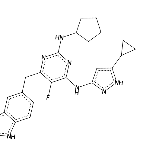 Fc1c(Cc2ccc3[nH]cnc3c2)nc(NC2CCCC2)nc1Nc1cc(C2CC2)[nH]n1